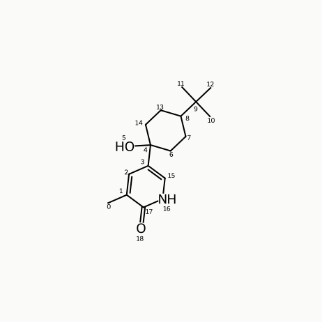 Cc1cc(C2(O)CCC(C(C)(C)C)CC2)c[nH]c1=O